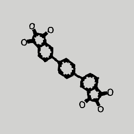 O=c1c(=O)c2ccc(-c3ccc(-c4ccc5c(=O)c(=O)c(=O)c5c4)cc3)cc2c1=O